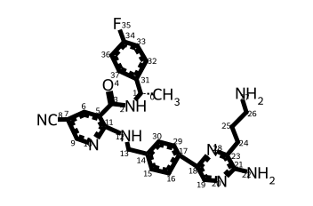 C[C@H](NC(=O)c1cc(C#N)cnc1NCc1ccc(-c2cnc(N)c(CCCN)n2)cc1)c1ccc(F)cc1